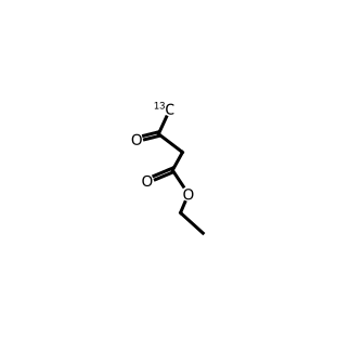 CCOC(=O)CC([13CH3])=O